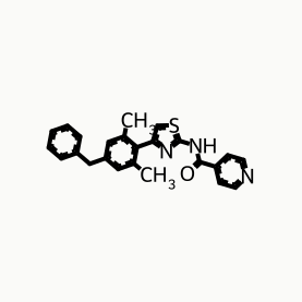 Cc1cc(Cc2ccccc2)cc(C)c1-c1csc(NC(=O)c2ccncc2)n1